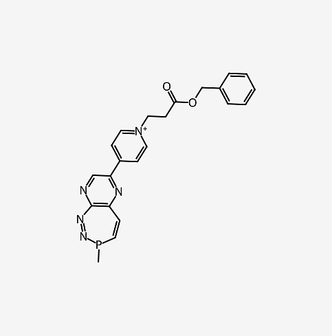 CP1C=Cc2nc(-c3cc[n+](CCC(=O)OCc4ccccc4)cc3)cnc2N=N1